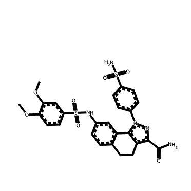 COc1ccc(S(=O)(=O)Nc2ccc3c(c2)-c2c(c(C(N)=O)nn2-c2ccc(S(N)(=O)=O)cc2)CC3)cc1OC